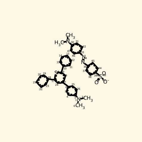 CN(C)c1ccc(-c2cc(-c3ccccc3)[s+]c(-c3ccccc3)c2)cc1.CN(C)c1ccc(N=Nc2ccc(S(=O)(=O)[O-])cc2)cc1